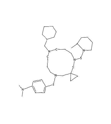 CC1CCCCN1SN1CCCN(CC2CCCCC2)CCCN(Sc2ccc(N(C)C)cc2)CC2(CC2)C1